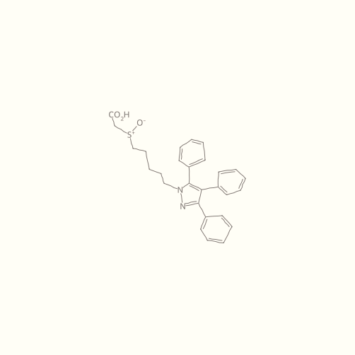 O=C(O)C[S+]([O-])CCCCCn1nc(-c2ccccc2)c(-c2ccccc2)c1-c1ccccc1